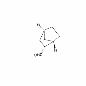 O=C[C@@H]1C[C@H]2CC[C@H]1C2